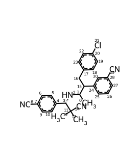 CC(N[C@@H](c1ccc(C#N)cc1)C(C)(C)C#N)C(Cc1ccc(Cl)cc1)c1cccc(C#N)c1